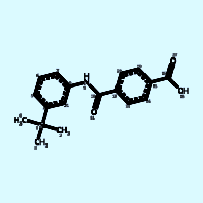 C[Si](C)(C)c1cccc(NC(=O)c2ccc(C(=O)O)cc2)c1